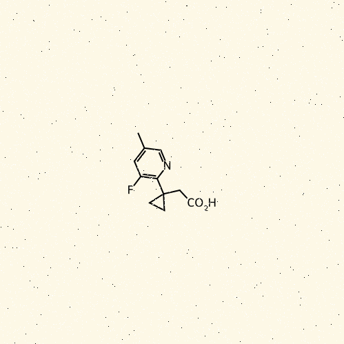 Cc1cnc(C2(CC(=O)O)CC2)c(F)c1